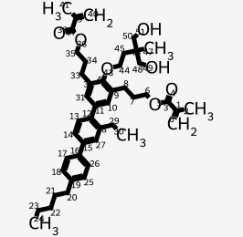 C=C(C)C(=O)OCCCc1cc(-c2ccc(-c3ccc(CCCCC)cc3)cc2CC)cc(CCCOC(=O)C(=C)C)c1OCCC(C)(CO)CO